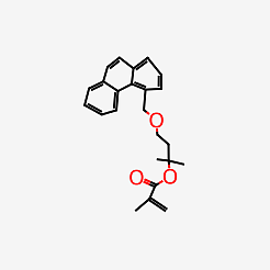 C=C(C)C(=O)OC(C)(C)CCOCc1cccc2ccc3ccccc3c12